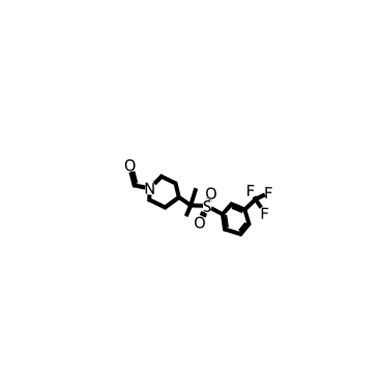 CC(C)(C1CCN(C=O)CC1)S(=O)(=O)c1cccc(C(F)(F)F)c1